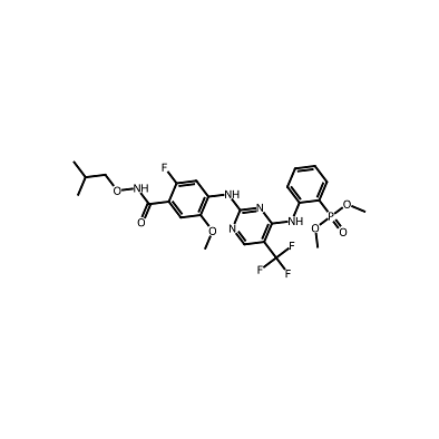 COc1cc(C(=O)NOCC(C)C)c(F)cc1Nc1ncc(C(F)(F)F)c(Nc2ccccc2P(=O)(OC)OC)n1